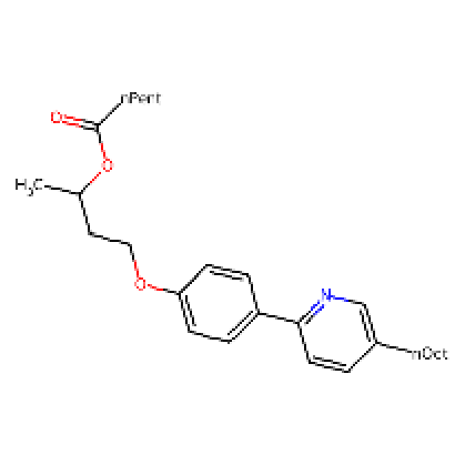 CCCCCCCCc1ccc(-c2ccc(OCCC(C)OC(=O)CCCCC)cc2)nc1